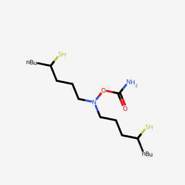 CCCCC(S)CCCN(CCCC(S)CCCC)OC(N)=O